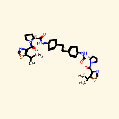 CC(C)c1scnc1C(=O)N1CCC[C@H]1C(=O)Nc1ccc(/C=C/c2ccc(NC(=O)[C@@H]3CCCN3C(=O)c3ncsc3C(C)C)cc2)cc1